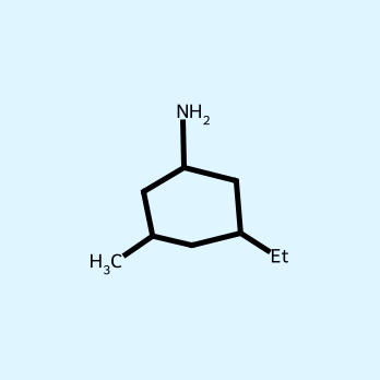 CCC1CC(C)CC(N)C1